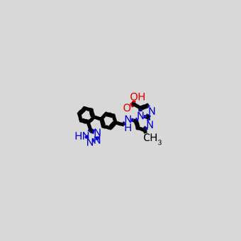 Cc1cc(NCc2ccc(-c3ccccc3-c3nnn[nH]3)cc2)n2c(C(=O)O)cnc2n1